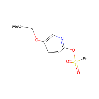 CCS(=O)(=O)Oc1ccc(OCOC)cn1